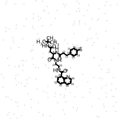 CC(C)(C)NC(=O)CC(NC(=O)CCc1ccc(F)cc1)C(=O)NCCNC(=O)c1cccc2cccnc12